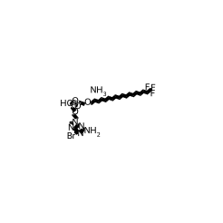 N.Nc1nc(Br)c2ncn(CCOCP(=O)(O)OCCOCCCCCCCCCCCCCCCCCC(F)(F)F)c2n1